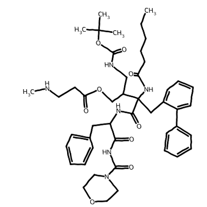 CCCCCC(=O)NC(Cc1ccccc1-c1ccccc1)(C(=O)NC(Cc1ccccc1)C(=O)NC(=O)N1CCOCC1)C(CNC(=O)OC(C)(C)C)COC(=O)CCNC